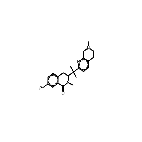 CC(C)c1ccc2c(c1)C(=O)N(C)C(C(C)(C)c1ccc3c(n1)CN(C)CC3)C2